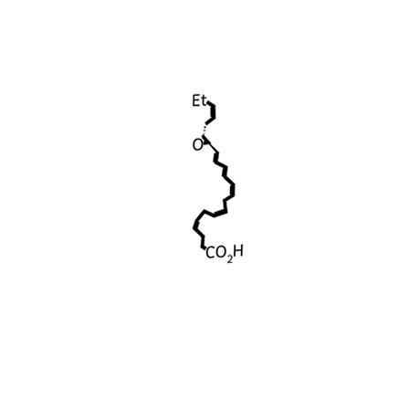 CC/C=C\C[C@H]1O[C@@H]1/C=C/C=C/C=C\C/C=C\C/C=C\CCC(=O)O